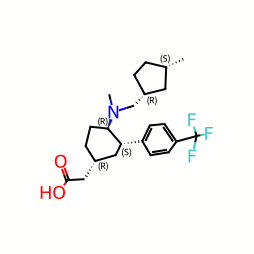 C[C@H]1CC[C@@H](CN(C)[C@@H]2CC[C@@H](CC(=O)O)C[C@H]2c2ccc(C(F)(F)F)cc2)C1